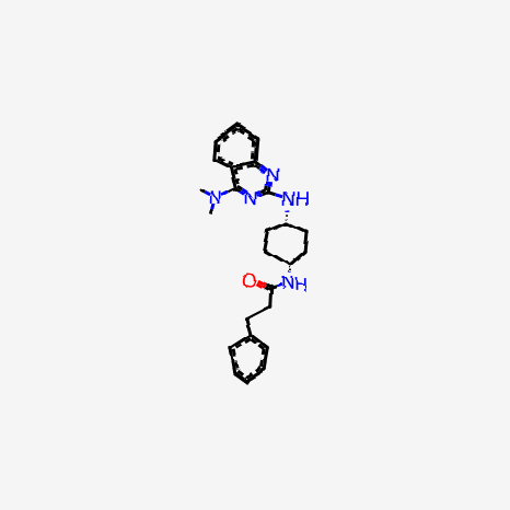 CN(C)c1nc(N[C@H]2CC[C@@H](NC(=O)CCc3ccccc3)CC2)nc2ccccc12